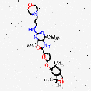 COc1nc(NCCCN2CCOCC2)nc(OC)c1NC(=O)c1ccc(Oc2cc3c(cc2C)COC3(C)C)o1